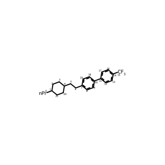 CCCC1CCC(CCc2ccc(-c3ccc(C(F)(F)F)cc3)cc2)CC1